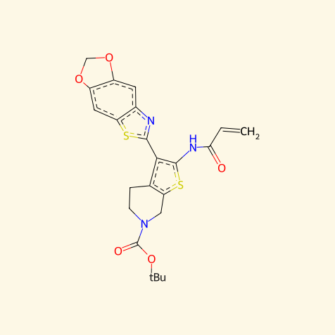 C=CC(=O)Nc1sc2c(c1-c1nc3cc4c(cc3s1)OCO4)CCN(C(=O)OC(C)(C)C)C2